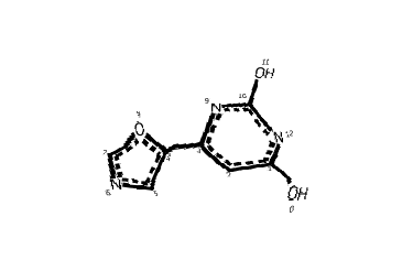 Oc1cc(-c2cnco2)nc(O)n1